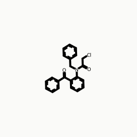 O=C(c1ccccc1)c1ccccc1N(Cc1ccccc1)C(=O)CCl